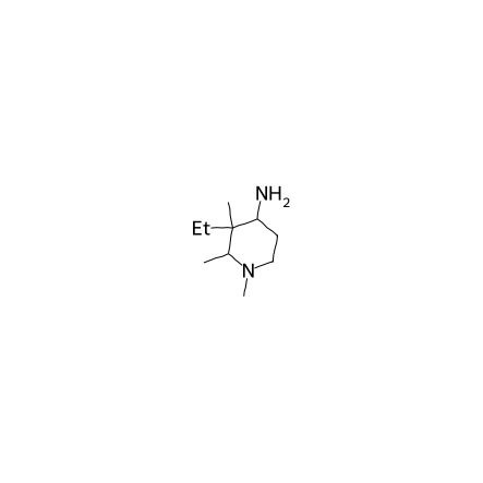 CCC1(C)C(N)CCN(C)C1C